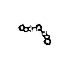 c1cc(C2=NC3c4ccccc4CC3O2)nc(C2=NC3c4ccccc4CC3O2)c1